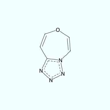 C1=Cc2nnnn2C=CO1